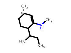 CCC(C)C1CC[C@H](C)C=C1NC